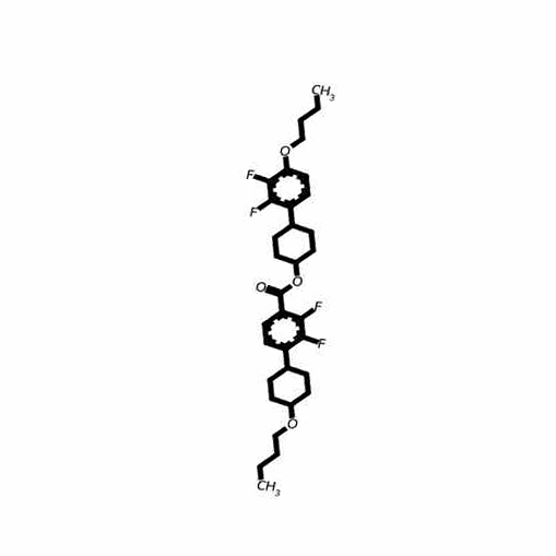 CCCCOc1ccc(C2CCC(OC(=O)c3ccc(C4CCC(OCCCC)CC4)c(F)c3F)CC2)c(F)c1F